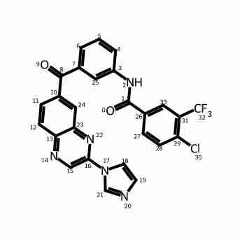 O=C(Nc1cccc(C(=O)c2ccc3ncc(-n4ccnc4)nc3c2)c1)c1ccc(Cl)c(C(F)(F)F)c1